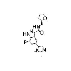 Cc1ncc(-c2cc(F)c3[nH]nc(C(=O)NC[C@H]4CCCO4)c3c2)n1C